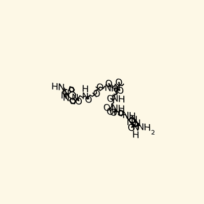 CCC(=O)N(CCC(=O)NCCOC(C)(C)COC(C)(C)CCC(=O)NCCC(=O)N1Cc2ccccc2-c2c(nnn2C(C)(C)CNC)-c2ccccc21)C(=O)SCCNC(=O)CCC(NC(=O)c1ccc(NCc2cnc3nc(N)[nH]c(=O)c3n2)cc1)C(=O)O